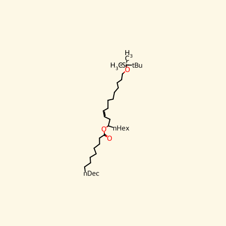 CCCCCCCCCCCCCCCCCC(=O)OC(C/C=C\CCCCCCCCO[Si](C)(C)C(C)(C)C)CCCCCC